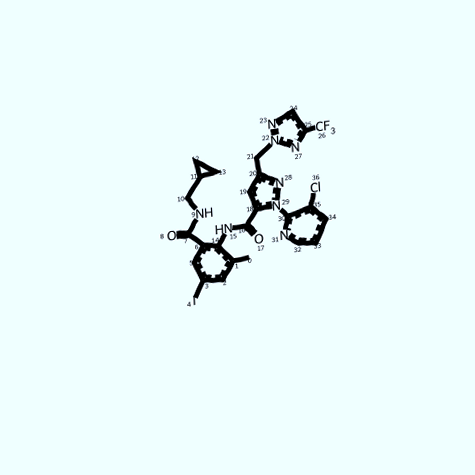 Cc1cc(I)cc(C(=O)NCC2CC2)c1NC(=O)c1cc(Cn2ncc(C(F)(F)F)n2)nn1-c1ncccc1Cl